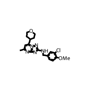 COc1ccc(CNc2nc3nc(C)cc(C4CCOCC4)n3n2)cc1Cl